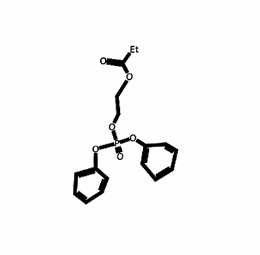 CCC(=O)OCCOP(=O)(Oc1ccccc1)Oc1ccccc1